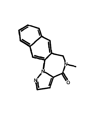 CN1Cc2cc3ccccc3cc2-n2nccc2C1=O